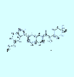 O=C(Nc1cc2cc(-c3cnn4c3CN(CCF)CC4)ncc2cn1)C1CCC(F)(F)CC1